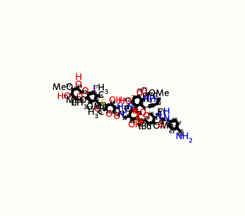 C/C=C\C#C[C@H](O[C@@H]1O[C@H](C)C(/C=N/O[C@H]2C[C@H](O)[C@H](SC(=O)c3c(C)c(I)c(O[C@@H]4O[C@@H](C)[C@H](O)[C@@H](OC)[C@H]4O)c(OC)c3OC)[C@@H](C)O2)[C@H](O)[C@H]1O[C@H]1C[C@H](OC)[C@@H](N(CC)C(=O)Nc2ccc(CN)cc2)CO1)C1=C(NC(=O)OC)C(=O)C[C@](N)(O)/C1=C/CSSC(C)(C)C